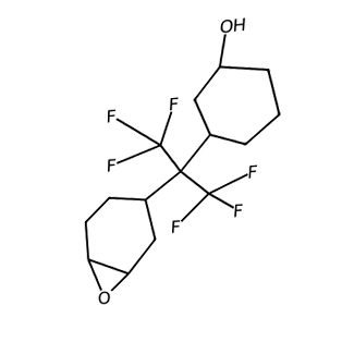 OC1CCCC(C(C2CCC3OC3C2)(C(F)(F)F)C(F)(F)F)C1